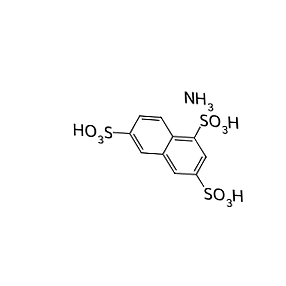 N.O=S(=O)(O)c1ccc2c(S(=O)(=O)O)cc(S(=O)(=O)O)cc2c1